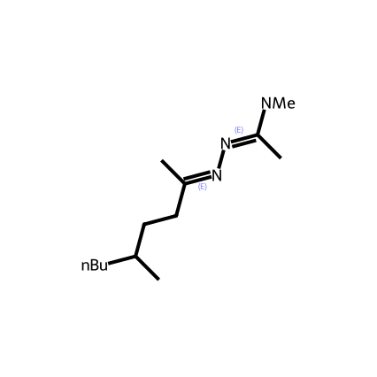 CCCCC(C)CC/C(C)=N/N=C(\C)NC